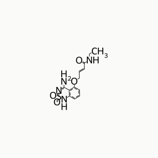 CCNC(=O)/C=C/COc1cccc2c1C(N)=NS(=O)(=O)N2